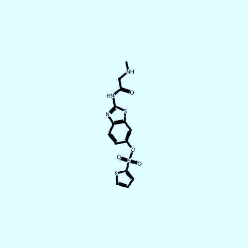 CNCC(=O)Nc1nc2ccc(OS(=O)(=O)c3cccs3)cc2s1